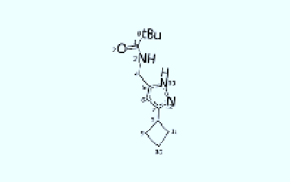 CC(C)(C)C(=O)NCc1cc(C2CCC2)n[nH]1